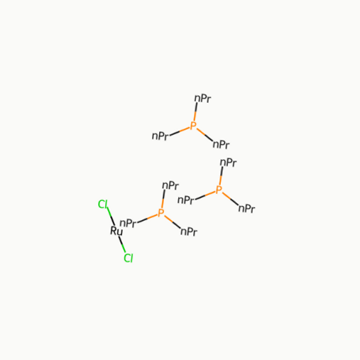 CCCP(CCC)CCC.CCCP(CCC)CCC.CCCP(CCC)CCC.[Cl][Ru][Cl]